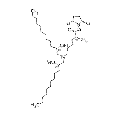 CCCCCCCCCC[C@H](O)CN(CCCC[C@H](N)C(=O)ON1C(=O)CCC1=O)C[C@@H](O)CCCCCCCCCC